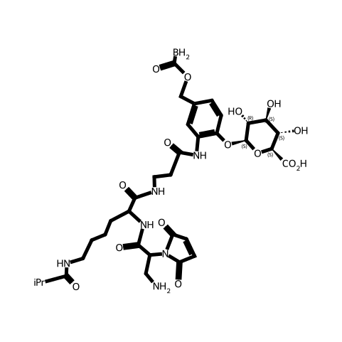 BC(=O)OCc1ccc(O[C@@H]2O[C@H](C(=O)O)[C@@H](O)[C@H](O)[C@H]2O)c(NC(=O)CCNC(=O)C(CCCCNC(=O)C(C)C)NC(=O)C(CN)N2C(=O)C=CC2=O)c1